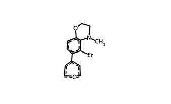 CCc1c(-c2ccccc2)ccc2c1N(C)CCO2